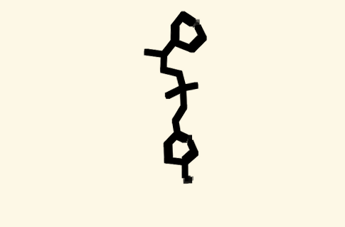 CC(C)c1ccc(CCC(C)(C)CCC(C)c2ccncc2)nc1